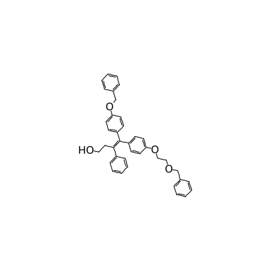 OCCC(=C(c1ccc(OCCOCc2ccccc2)cc1)c1ccc(OCc2ccccc2)cc1)c1ccccc1